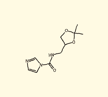 CC1(C)OCC(CNC(=O)n2ccnc2)O1